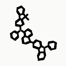 CC1(C)c2ccccc2-c2ccc(N(c3ccccc3)c3cccc4c(-c5ccc6c(c5)c5ccccc5n6-c5ccccc5)cccc34)cc21